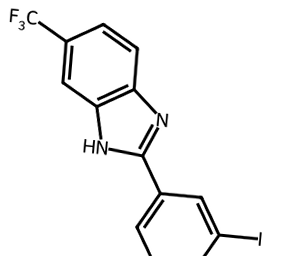 FC(F)(F)c1ccc2nc(-c3cccc(I)c3)[nH]c2c1